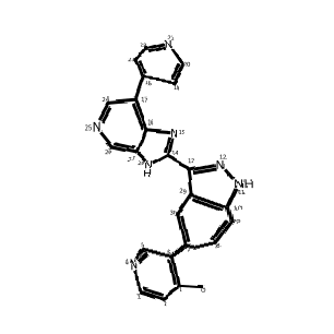 Cc1ccncc1-c1ccc2[nH]nc(-c3nc4c(-c5ccncc5)cncc4[nH]3)c2c1